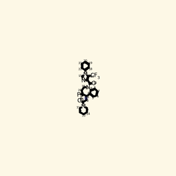 O=C(/C=C1/c2ccccc2N(C(=O)c2ncn(-c3ccccc3)c2C(F)(F)F)CCC1(F)F)N1CCCCC1